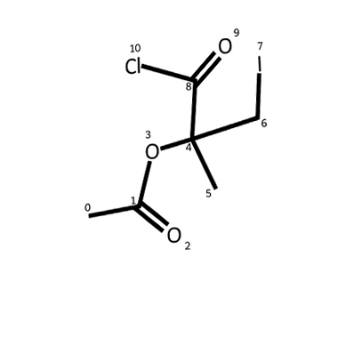 CC(=O)OC(C)(CI)C(=O)Cl